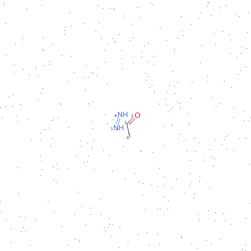 CC=O.N=N